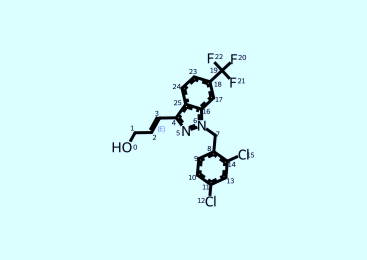 OC/C=C/c1nn(Cc2ccc(Cl)cc2Cl)c2cc(C(F)(F)F)ccc12